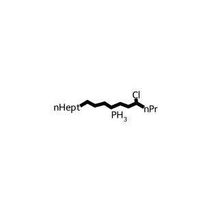 CCCCCCCCCCCCCC(Cl)CCC.P